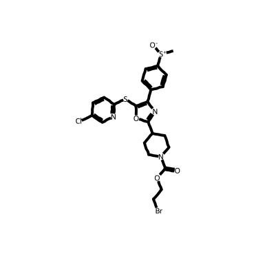 C[S+]([O-])c1ccc(-c2nc(C3CCN(C(=O)OCCBr)CC3)oc2Sc2ccc(Cl)cn2)cc1